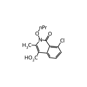 CCCOn1c(C)c(C(=O)O)c2cccc(Cl)c2c1=O